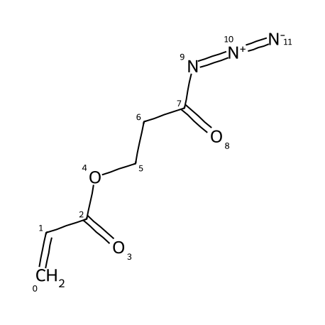 C=CC(=O)OCCC(=O)N=[N+]=[N-]